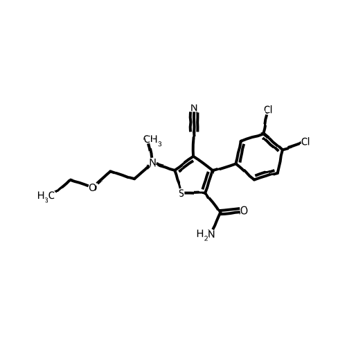 CCOCCN(C)c1sc(C(N)=O)c(-c2ccc(Cl)c(Cl)c2)c1C#N